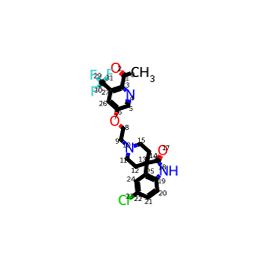 CC(=O)c1ncc(OCCN2CCC3(CC2)C(=O)Nc2ccc(Cl)cc23)cc1C(F)(F)F